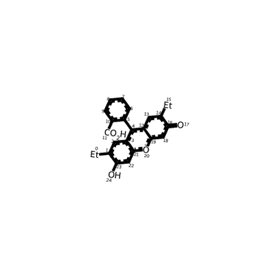 CCc1cc2c(-c3ccccc3C(=O)O)c3cc(CC)c(=O)cc-3oc2cc1O